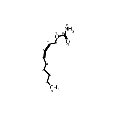 CCCCCC=C=CCOC(N)=O